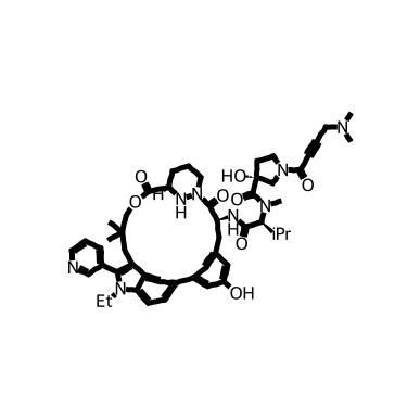 CCn1c(-c2cccnc2)c2c3cc(ccc31)-c1cc(O)cc(c1)C[C@H](NC(=O)[C@H](C(C)C)N(C)C(=O)[C@@]1(O)CCN(C(=O)C#CCN(C)C)C1)C(=O)N1CCC[C@H](N1)C(=O)OCC(C)(C)C2